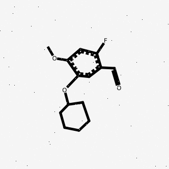 COc1cc(F)c(C=O)cc1OC1CCCCC1